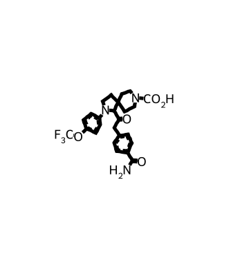 NC(=O)c1ccc(CC(=O)C2N(c3ccc(OC(F)(F)F)cc3)CCC23CCN(C(=O)O)CC3)cc1